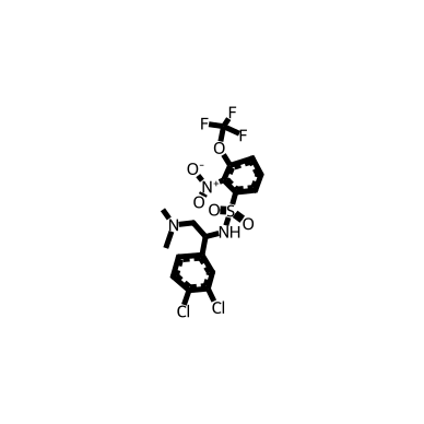 CN(C)CC(NS(=O)(=O)c1cccc(OC(F)(F)F)c1[N+](=O)[O-])c1ccc(Cl)c(Cl)c1